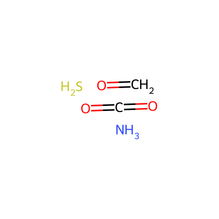 C=O.N.O=C=O.S